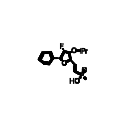 CC(C)O[C@H]1[C@@H](F)[C@H](c2ccccc2)O[C@@H]1/C=C/P(C)(=O)O